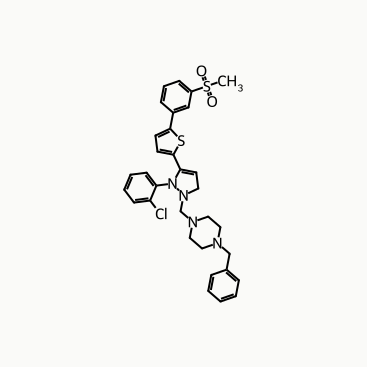 CS(=O)(=O)c1cccc(-c2ccc(C3=CCN(CN4CCN(Cc5ccccc5)CC4)N3c3ccccc3Cl)s2)c1